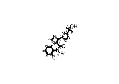 CC(C)n1c(=O)c2c(-c3nc(C(C)(C)O)no3)ncn2c2cccc(Cl)c21